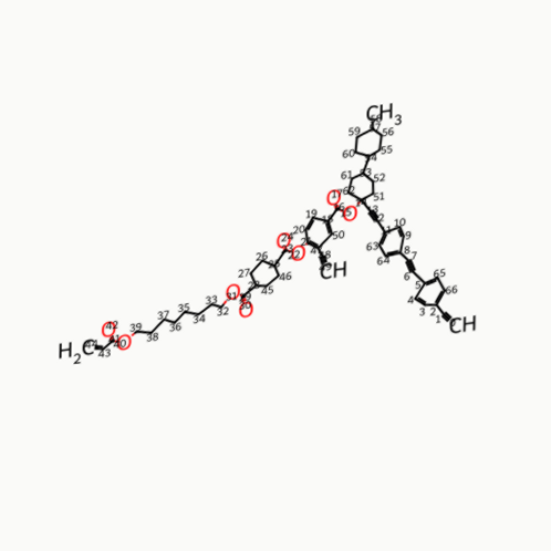 C#Cc1ccc(C#Cc2ccc(C#CC3(OC(=O)c4ccc(OC(=O)C5CCC(C(=O)OCCCCCCCCOC(=O)C=C)CC5)c(C#C)c4)CCC(C4CCC(C)CC4)CC3)cc2)cc1